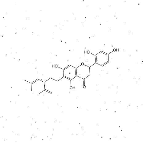 C=C(C)C(C=C(C)C)CCc1c(O)cc2c(c1O)C(=O)CC(c1ccc(O)cc1O)O2